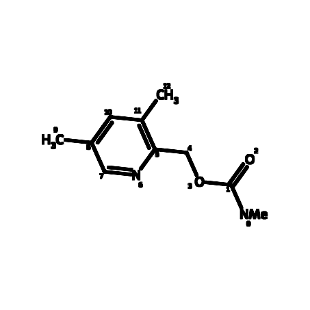 CNC(=O)OCc1ncc(C)cc1C